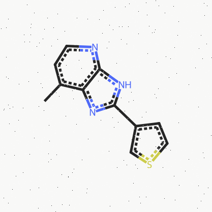 Cc1ccnc2[nH]c(-c3ccsc3)nc12